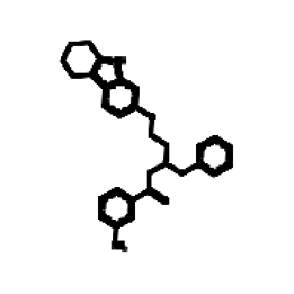 Nc1cccc(C(=O)CN(CCOc2ccc3c4c([nH]c3c2)CCCC4)Cc2ccccc2)c1